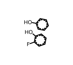 Oc1ccccc1.Oc1ccccc1F